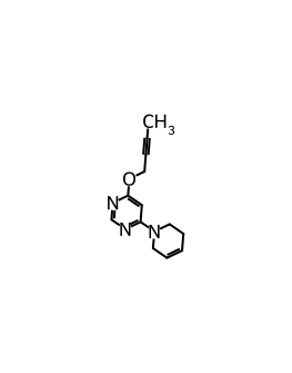 CC#CCOc1cc(N2CC=CCC2)ncn1